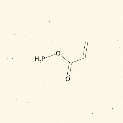 C=CC(=O)OP